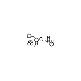 O=C(O)C[C@@H]1Cc2ccc(OCCCNc3ccccn3)cc2Cc2ccccc21